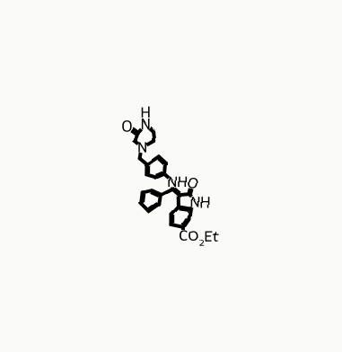 CCOC(=O)c1ccc2c(c1)NC(=O)/C2=C(\Nc1ccc(CN2CCNC(=O)C2)cc1)c1ccccc1